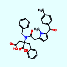 Cc1ccc(C(=O)c2ccc(CC(=O)N(Cc3ccccc3)[C@](CC(=O)O)(Cc3ccccc3)C(=O)O)n2C)cc1